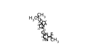 CC(C)OC[C@@]12CCCN1[C@H](COc1ccnc(C(C)F)n1)CC2